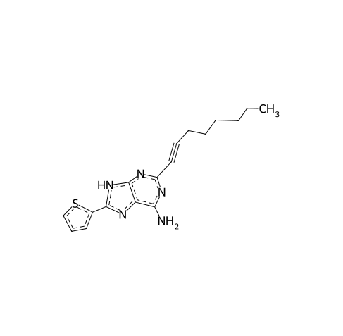 CCCCCCC#Cc1nc(N)c2nc(-c3cccs3)[nH]c2n1